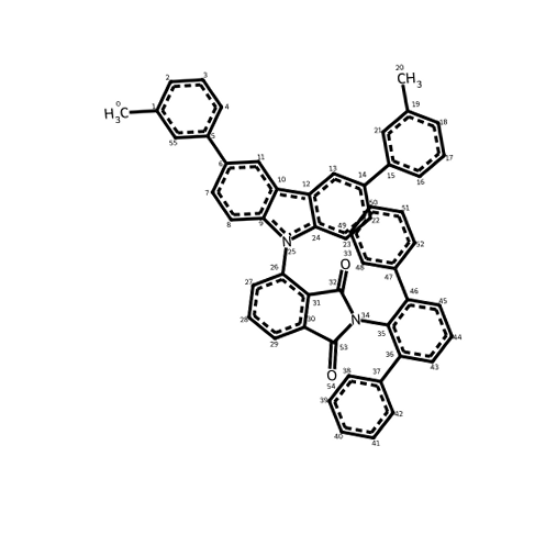 Cc1cccc(-c2ccc3c(c2)c2cc(-c4cccc(C)c4)ccc2n3-c2cccc3c2C(=O)N(c2c(-c4ccccc4)cccc2-c2ccccc2)C3=O)c1